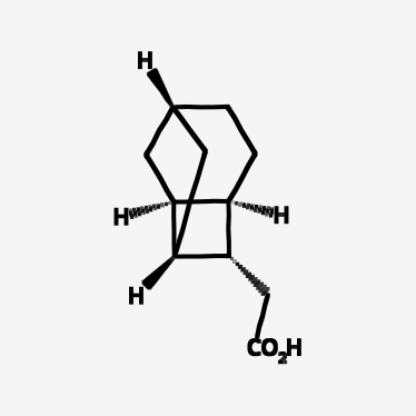 O=C(O)C[C@H]1[C@@H]2CC[C@@H]3C[C@H]1[C@H]2C3